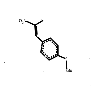 CC(=Cc1ccc(SC(C)(C)C)cc1)[N+](=O)[O-]